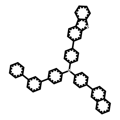 c1ccc(-c2cccc(-c3ccc(N(c4ccc(-c5ccc6ccccc6c5)cc4)c4ccc(-c5ccc6c(c5)sc5ccccc56)cc4)cc3)c2)cc1